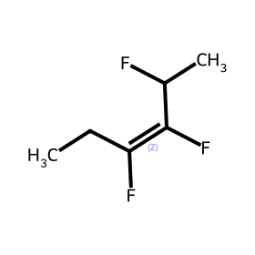 CC/C(F)=C(/F)C(C)F